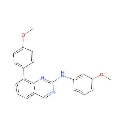 COc1ccc(-c2cccc3cnc(Nc4cccc(OC)c4)nc23)cc1